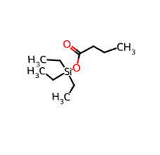 CCCC(=O)O[Si](CC)(CC)CC